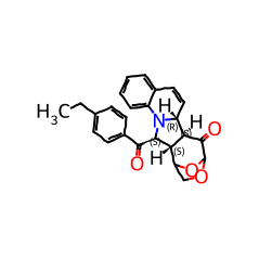 CCc1ccc(C(=O)[C@@H]2[C@H]3C4COC(O4)C(=O)[C@@H]3[C@H]3C=Cc4ccccc4N32)cc1